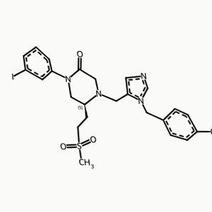 CS(=O)(=O)CC[C@H]1CN(c2cccc(I)c2)C(=O)CN1Cc1cncn1Cc1ccc(C#N)cc1